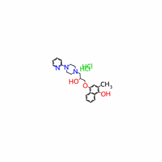 Cc1cc(OCC(O)CN2CCN(c3ccccn3)CC2)c2ccccc2c1O.Cl.Cl